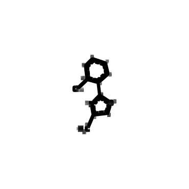 [CH2]c1coc(-c2ccccc2Cl)n1